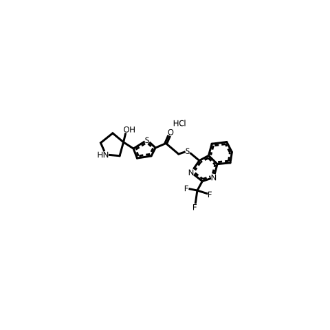 Cl.O=C(CSc1nc(C(F)(F)F)nc2ccccc12)c1ccc(C2(O)CCNC2)s1